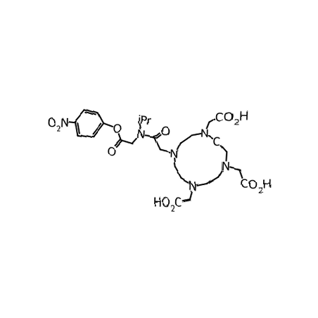 CC(C)N(CC(=O)Oc1ccc([N+](=O)[O-])cc1)C(=O)CN1CCN(CC(=O)O)CCN(CC(=O)O)CCN(CC(=O)O)CC1